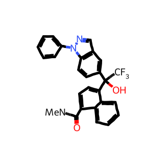 CNC(=O)c1ccc(C(O)(c2ccc3c(cnn3-c3ccccc3)c2)C(F)(F)F)c2ccccc12